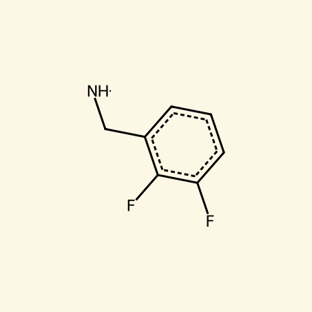 [NH]Cc1cccc(F)c1F